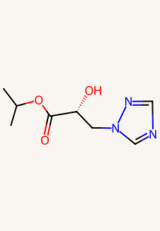 CC(C)OC(=O)[C@H](O)Cn1cncn1